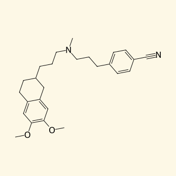 COc1cc2c(cc1OC)CC(CCCN(C)CCCc1ccc(C#N)cc1)CC2